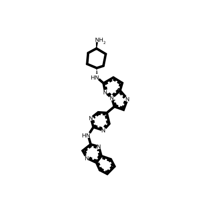 N[C@H]1CC[C@H](Nc2ccc3ncc(-c4cnc(Nc5cnc6ccccc6n5)nc4)n3n2)CC1